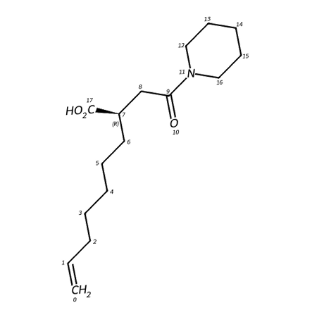 C=CCCCCC[C@H](CC(=O)N1CCCCC1)C(=O)O